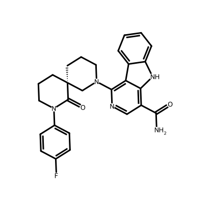 NC(=O)c1cnc(N2CCC[C@]3(CCCN(c4ccc(F)cc4)C3=O)C2)c2c1[nH]c1ccccc12